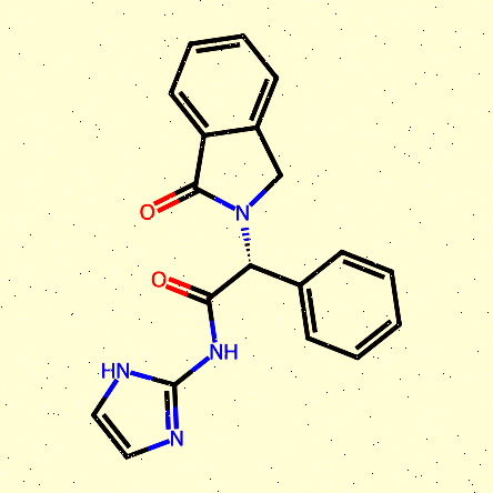 O=C(Nc1ncc[nH]1)[C@@H](c1ccccc1)N1Cc2ccccc2C1=O